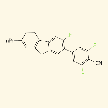 CCCc1ccc2c(c1)Cc1cc(-c3cc(F)c(C#N)c(F)c3)c(F)cc1-2